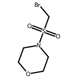 O=S(=O)(CBr)N1CCOCC1